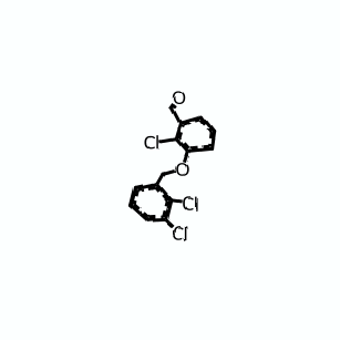 O=Cc1cccc(OCc2cccc(Cl)c2Cl)c1Cl